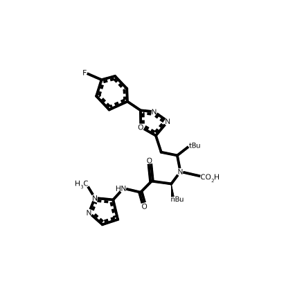 CCCC[C@@H](C(=O)C(=O)Nc1ccnn1C)N(C(=O)O)C(Cc1nnc(-c2ccc(F)cc2)o1)C(C)(C)C